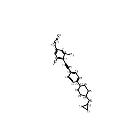 Fc1cc(N=C=S)cc(F)c1C#Cc1ccc(C2CCC(CC3CC3)CC2)cc1